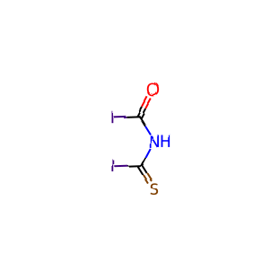 O=C(I)NC(=S)I